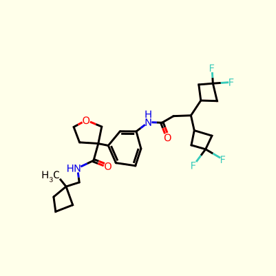 CC1(CNC(=O)C2(c3cccc(NC(=O)CC(C4CC(F)(F)C4)C4CC(F)(F)C4)c3)CCOC2)CCC1